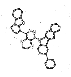 c1ccc(-c2ccc3c(c2)c2cc4ccccc4cc2n3-c2nnc(-c3cccc4c3oc3ccccc34)c3nccnc23)cc1